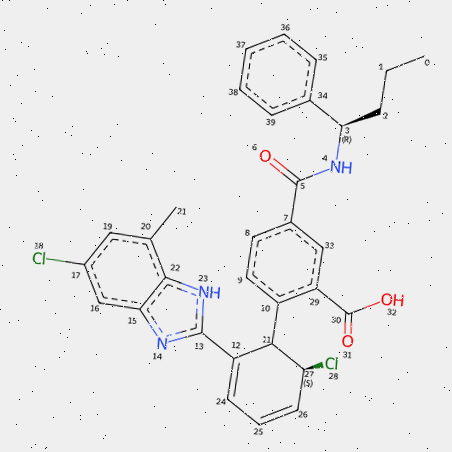 CCC[C@@H](NC(=O)c1ccc(C2C(c3nc4cc(Cl)cc(C)c4[nH]3)=CC=C[C@@H]2Cl)c(C(=O)O)c1)c1ccccc1